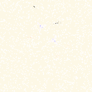 O=C(O)[C@H]1CC[C@@H]2CN(C(=O)OCc3ccccc3)CC(=O)N2C1